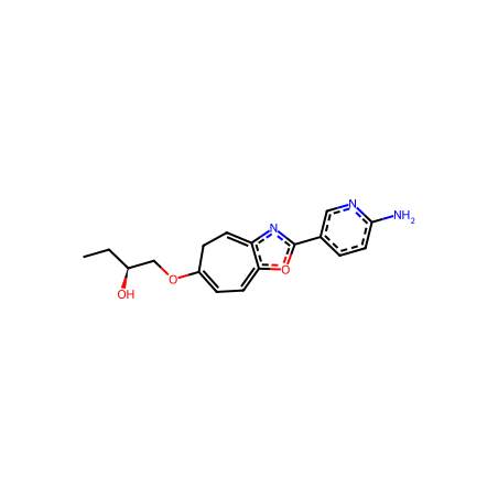 CC[C@H](O)COC1=CC=c2oc(-c3ccc(N)nc3)nc2=CC1